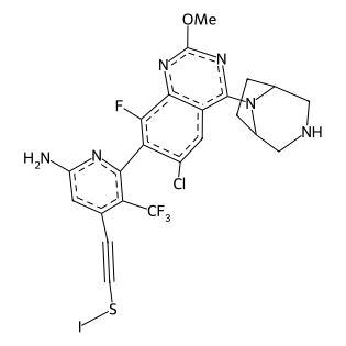 COc1nc(N2C3CCC2CNC3)c2cc(Cl)c(-c3nc(N)cc(C#CSI)c3C(F)(F)F)c(F)c2n1